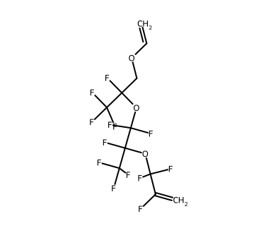 C=COCC(F)(OC(F)(F)C(F)(OC(F)(F)C(=C)F)C(F)(F)F)C(F)(F)F